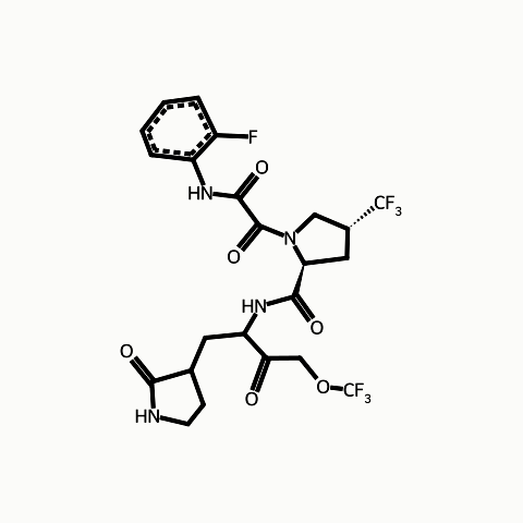 O=C(Nc1ccccc1F)C(=O)N1C[C@H](C(F)(F)F)C[C@H]1C(=O)NC(CC1CCNC1=O)C(=O)COC(F)(F)F